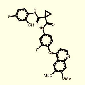 COc1cc2nccc(Oc3ccc(NC(=O)C4(C(=O)Nc5ccc(F)cc5O)CC4)cc3F)c2cc1OC